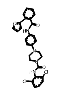 O=C(Nc1ccc(N2CCN(C(=O)Nc3c(Cl)cccc3Cl)CC2)cc1)c1ccccc1-c1ccco1